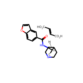 O=C(N[C@@H]1CN2CCC1CC2)c1ccc2occc2c1.O=C(O)C=CC(=O)O